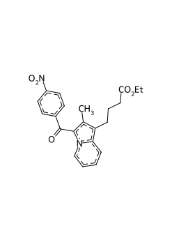 CCOC(=O)CCCc1c(C)c(C(=O)c2ccc([N+](=O)[O-])cc2)n2ccccc12